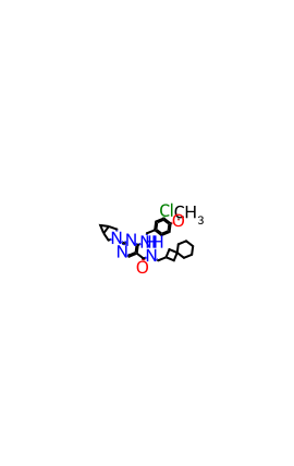 COc1ccc(CNc2nc(N3CC4CC4C3)ncc2C(=O)NCC2CC3(CCCCC3)C2)cc1Cl